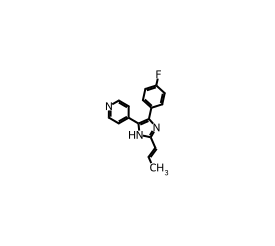 CC=Cc1nc(-c2ccc(F)cc2)c(-c2ccncc2)[nH]1